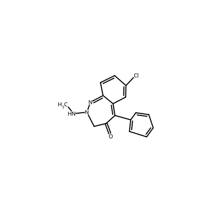 CNN1CC(=O)C(c2ccccc2)=c2cc(Cl)ccc2=N1